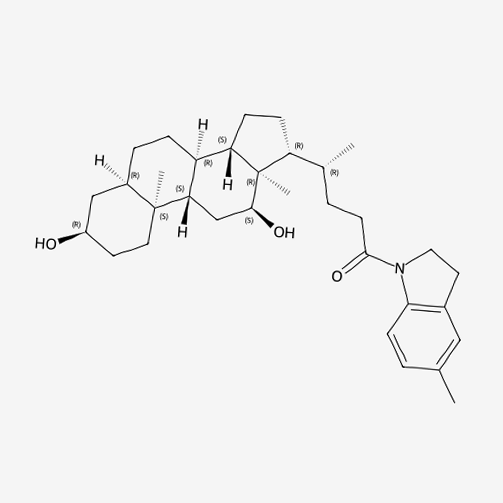 Cc1ccc2c(c1)CCN2C(=O)CC[C@@H](C)[C@H]1CC[C@H]2[C@@H]3CC[C@@H]4C[C@H](O)CC[C@]4(C)[C@H]3C[C@H](O)[C@]12C